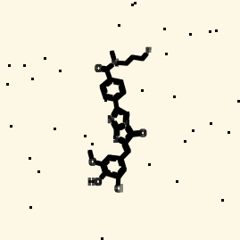 COc1cc(/C=c2\sc3nc(-c4ccc(C(=O)N(C)CCCF)cc4)cn3c2=O)cc(Cl)c1O